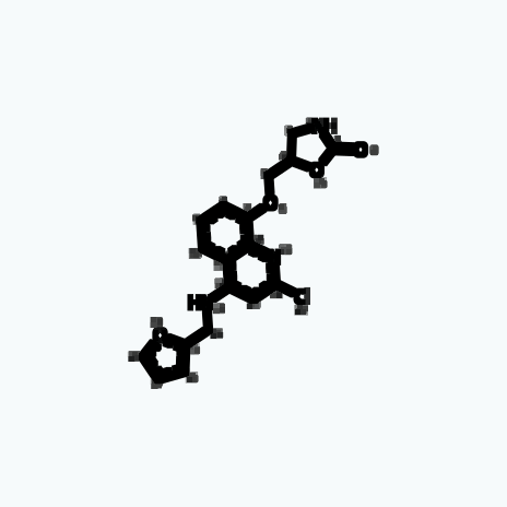 O=C1NCC(COc2cccc3c(NCc4ccco4)cc(Cl)nc23)O1